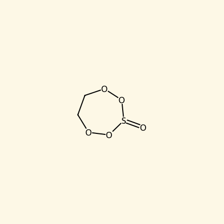 O=S1OOCCOO1